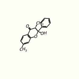 Cc1ccc2c(c1)O[C@@](O)(c1ccccc1)[C@H](C)C2=O